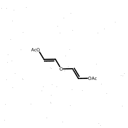 CC(=O)OC=COC=COC(C)=O